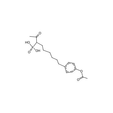 CC(=O)Oc1ccc(CCCCCCC(C(C)=O)P(=O)(O)O)cc1